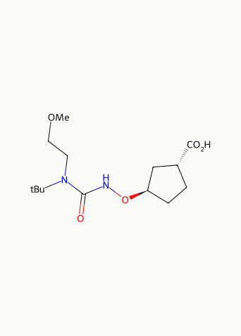 COCCN(C(=O)NO[C@@H]1CC[C@@H](C(=O)O)C1)C(C)(C)C